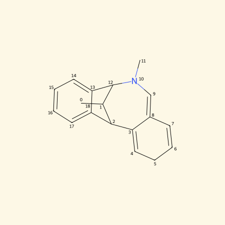 CC1C2C3=CCC=CC3=CN(C)C1c1ccccc12